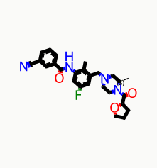 Cc1c(CN2CCN(C(=O)C3CCCO3)[C@@H](C)C2)cc(F)cc1NC(=O)c1cccc(C#N)c1